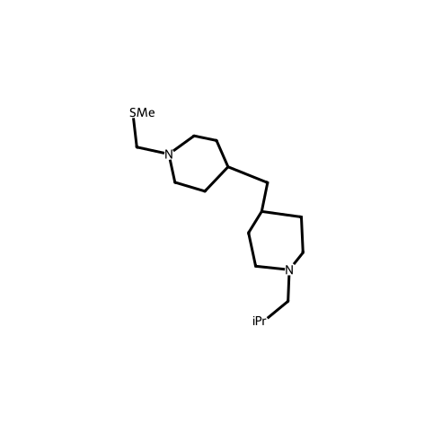 CSCN1CCC(CC2CCN(CC(C)C)CC2)CC1